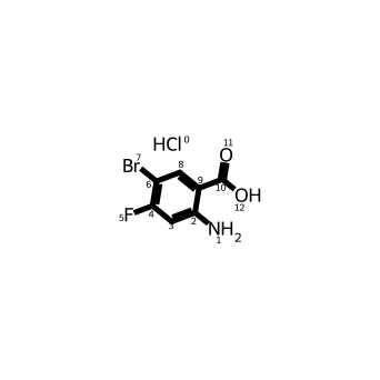 Cl.Nc1cc(F)c(Br)cc1C(=O)O